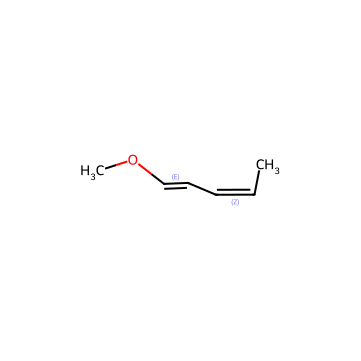 C/C=C\C=C\OC